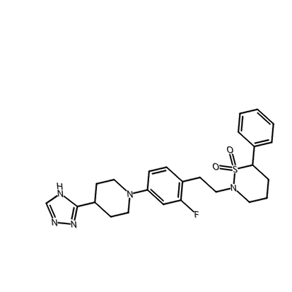 O=S1(=O)C(c2ccccc2)CCCN1CCc1ccc(N2CCC(c3nnc[nH]3)CC2)cc1F